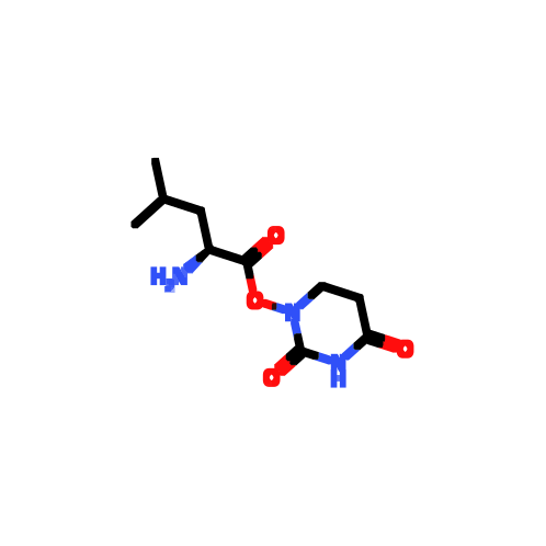 CC(C)C[C@H](N)C(=O)ON1CCC(=O)NC1=O